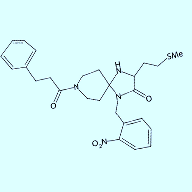 CSCCC1NC2(CCN(C(=O)CCc3ccccc3)CC2)N(Cc2ccccc2[N+](=O)[O-])C1=O